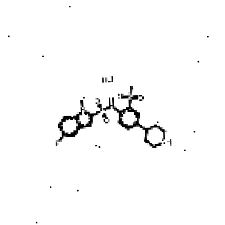 Cl.Cn1c(S(=O)(=O)Nc2ccc(C3CCNCC3)cc2S(C)(=O)=O)cc2cc(F)ccc21